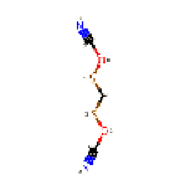 N#COSCSOC#N